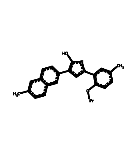 Cc1ccc(OC(C)C)c(-n2cc(-c3ccc4cc(C)ccc4c3)c(O)n2)c1